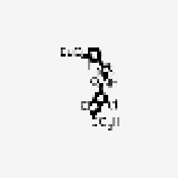 C/C(=C\c1c(Cl)cc(C(=O)Nc2nc(-c3cccc(COCC(C)C)c3F)cs2)cc1Cl)C(=O)O